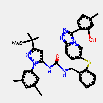 CSC(C)(C)c1cc(NC(=O)NCc2ccccc2Sc2ccc3nnc(-c4ccc(C)cc4O)n3c2)n(-c2cc(C)cc(C)c2)n1